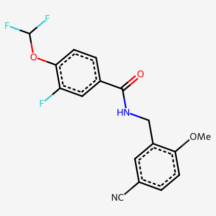 COc1ccc(C#N)cc1CNC(=O)c1ccc(OC(F)F)c(F)c1